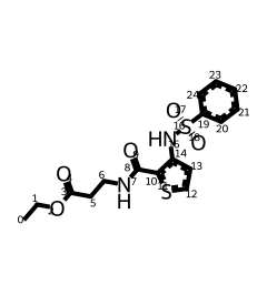 CCOC(=O)CCNC(=O)c1sccc1NS(=O)(=O)c1ccccc1